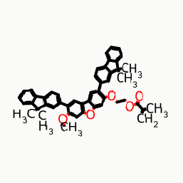 C=C(C)C(=O)OCCOc1cc2oc3cc(OC)c(-c4ccc5c(c4)C(C)(C)c4ccccc4-5)cc3c2cc1-c1ccc2c(c1)C(C)(C)c1ccccc1-2